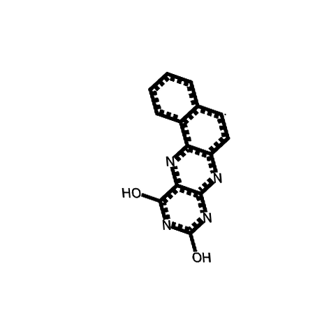 Oc1nc(O)c2nc3c(c[c]c4ccccc43)nc2n1